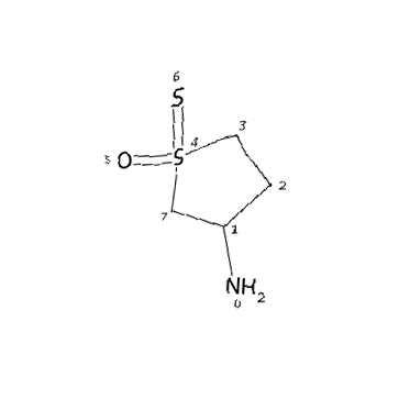 NC1CCS(=O)(=S)C1